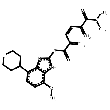 C=C(/C=C\C(=C)C(=O)N(C)C)C(=O)Nc1nc2c(C3CCOCC3)ccc(OC)c2[nH]1